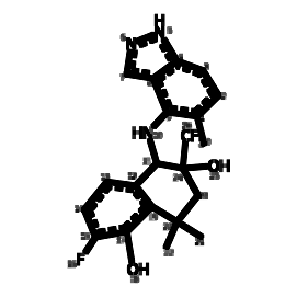 Cc1ccc2[nH]ncc2c1NC1c2ccc(F)c(O)c2C(C)(C)CC1(O)C(F)(F)F